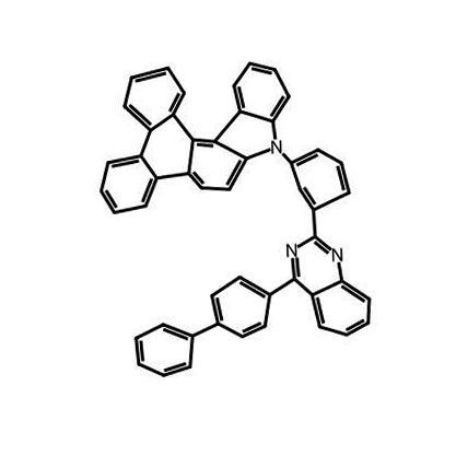 c1ccc(-c2ccc(-c3nc(-c4cccc(-n5c6ccccc6c6c7c8ccccc8c8ccccc8c7ccc65)c4)nc4ccccc34)cc2)cc1